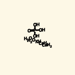 O.O.O=P(O)(O)O.[CaH2].[CaH2].[KH]